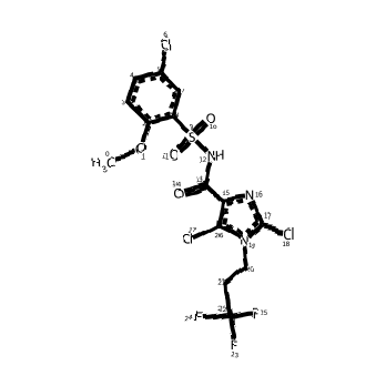 COc1ccc(Cl)cc1S(=O)(=O)NC(=O)c1nc(Cl)n(CCC(F)(F)F)c1Cl